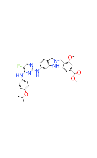 COC(=O)c1ccc(CN2Cc3ccc(Nc4ncc(F)c(Nc5ccc(OC(C)C)cc5)n4)cc3N2)c(OC)c1